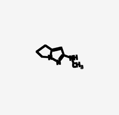 CNc1cc2n(n1)CCC2